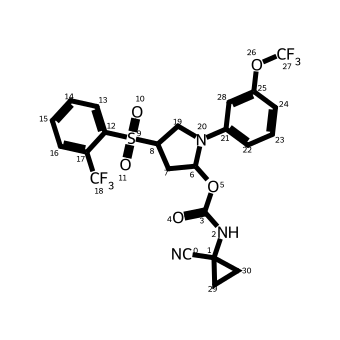 N#CC1(NC(=O)OC2CC(S(=O)(=O)c3ccccc3C(F)(F)F)CN2c2cccc(OC(F)(F)F)c2)CC1